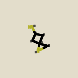 SC1CC2(CS2)C1